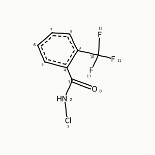 O=C(NCl)c1ccccc1C(F)(F)F